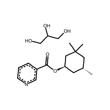 C[C@@H]1C[C@@H](OC(=O)c2cccnc2)CC(C)(C)C1.OCC(O)CO